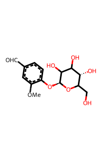 COc1cc(C=O)ccc1O[C@@H]1OC(CO)[C@@H](O)C(O)C1O